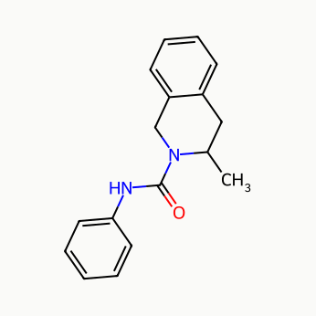 CC1Cc2ccccc2CN1C(=O)Nc1ccccc1